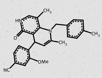 COc1cc(C#N)ccc1C1C=C(C)N(Cc2ccc(C)cc2)c2c(C)c[nH]c(=O)c21